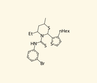 CCCCCCc1ccsc1C1SC(C)CC(CC)N1C(=S)Nc1cccc(Br)c1